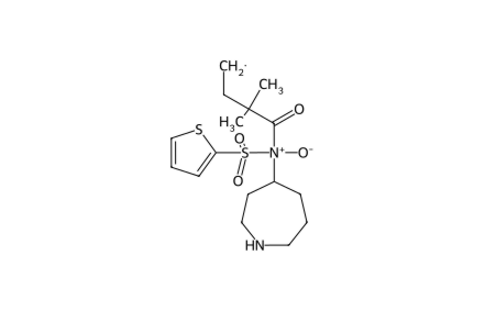 [CH2]CC(C)(C)C(=O)[N+]([O-])(C1CCCNCC1)S(=O)(=O)c1cccs1